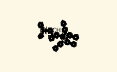 Cc1ccc(-c2nc(-c3ccccc3)nc(-c3ccccc3)n2)cc1-n1c2ccccc2c2cc(-c3cc4c5c(c3)N(c3ccc(-c6ccccc6)cc3)c3ccc(-c6ccccc6)cc3B5c3cc(-c5ccccc5)ccc3N4c3ccc(-c4ccccc4)cc3)ccc21